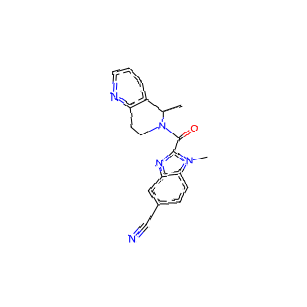 CC1c2cccnc2CCN1C(=O)c1nc2cc(C#N)ccc2n1C